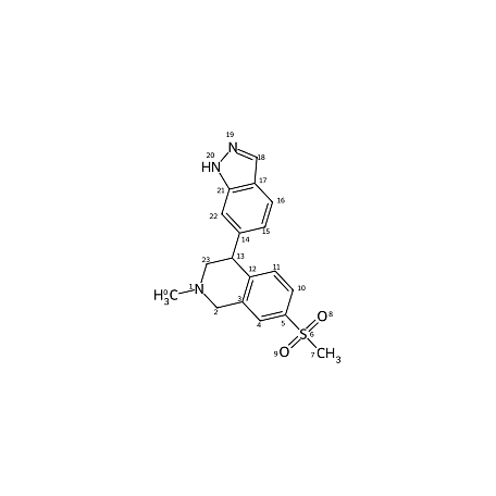 CN1Cc2cc(S(C)(=O)=O)ccc2C(c2ccc3cn[nH]c3c2)C1